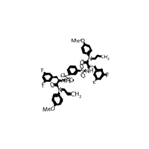 C=CCN(C(=O)[C@H](Cc1cc(F)cc(F)c1)NS(=O)(=O)c1cccc(S(=O)(=O)N[C@H](Cc2cc(F)cc(F)c2)C(=O)N(CC=C)c2ccc(OC)cc2)c1)c1ccc(OC)cc1